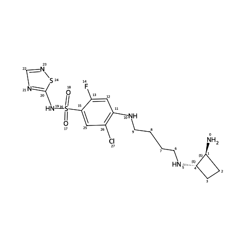 N[C@H]1CC[C@@H]1NCCCCNc1cc(F)c(S(=O)(=O)Nc2ncns2)cc1Cl